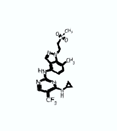 Cc1ccc(Nc2ncc(C(F)(F)F)c(NC3CC3)n2)c2cnn(CCS(C)(=O)=O)c12